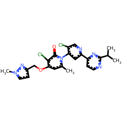 Cc1cc(OCc2ccn(C)n2)c(Cl)c(=O)n1-c1cc(-c2ccnc(C(C)C)n2)ncc1Cl